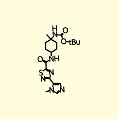 Cn1cncc1-c1nsc(C(=O)NC2CCC(C)(NC(=O)OC(C)(C)C)CC2)n1